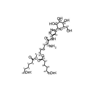 CCCCCCCCCCCCCCC(=O)OC[C@H](CSC[C@@H](N)C(=O)Nc1cn(C2OC(CO)C(O)C(O)C2O)nn1)OC(=O)CCCCCCCCCCCCCC